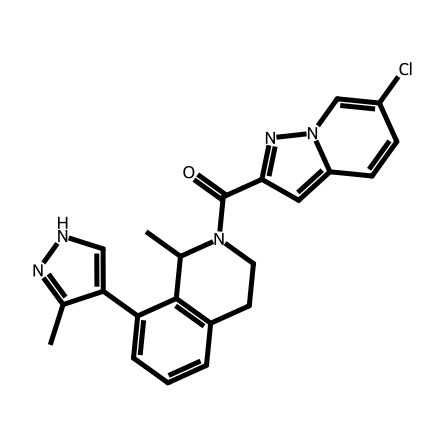 Cc1n[nH]cc1-c1cccc2c1C(C)N(C(=O)c1cc3ccc(Cl)cn3n1)CC2